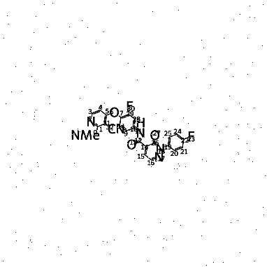 CNc1nccc(Oc2ccc(NC(=O)c3ccnn(-c4ccc(F)cc4)c3=O)cc2F)c1C#N